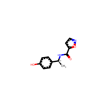 C[C@H](NC(=O)c1ccno1)c1ccc(O)cc1